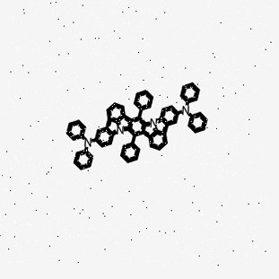 c1ccc(-c2c3c4cccc5c6cc(N(c7ccccc7)c7ccccc7)ccc6n(c3c(-c3ccccc3)c3c6cccc7c8cc(N(c9ccccc9)c9ccccc9)ccc8n(c23)c76)c54)cc1